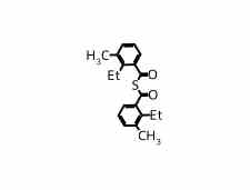 CCc1c(C)cccc1C(=O)SC(=O)c1cccc(C)c1CC